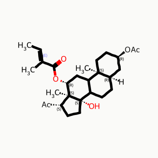 C/C=C(\C)C(=O)O[C@@H]1CC2C(CC[C@@H]3C[C@H](OC(C)=O)CC[C@]23C)[C@@]2(O)CC[C@H](C(C)=O)[C@@]12C